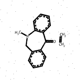 C=C.CN1Cc2ccccc2C(=O)c2ccccc21